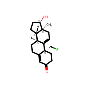 C[C@]12CC=C3[C@@H](CCC4=CC(=O)CC[C@@]43CBr)[C@@H]1CC[C@@H]2O